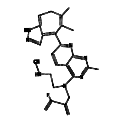 C=C(F)C(=C)CN(CCNC#N)c1nc(C)nc2nc(C3=c4cn[nH]c4=CCC(C)=C3C)ccc12